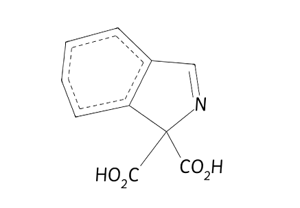 O=C(O)C1(C(=O)O)N=Cc2ccccc21